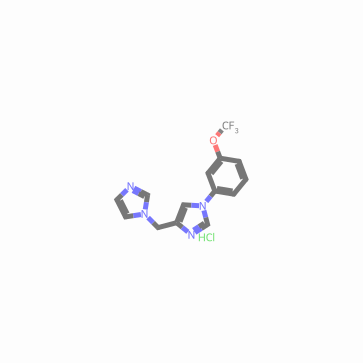 Cl.FC(F)(F)Oc1cccc(-n2cnc(Cn3ccnc3)c2)c1